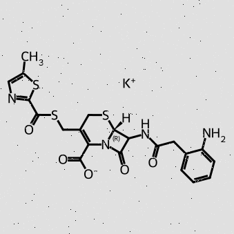 Cc1cnc(C(=O)SCC2=C(C(=O)[O-])N3C(=O)C(NC(=O)Cc4ccccc4N)[C@H]3SC2)s1.[K+]